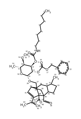 CCCCCCCCNC(=O)O[C@H]1[C@H](OC(=O)OCc2ccccc2)[C@H](OCC23CC4C(C)CCC4C4(C=O)CC2C=C(C(C)C)C43C(=O)O)O[C@H](C)[C@H]1OC